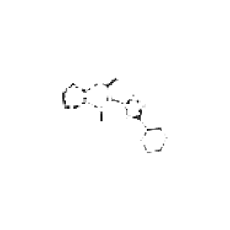 C=C(Cc1ccccc1OC)Nc1nnc(C2CCCCC2)s1